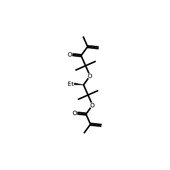 C=C(C)C(=O)OC(C)(C)[C@@H](CC)OC(C)(C)C(=O)C(=C)C